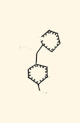 CSc1ccc([C@H](O)c2ccccn2)cc1